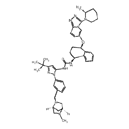 C[C@H]1CCCCN1c1nnc2ccc(O[C@@H]3CC[C@H](NC(=O)Nc4cc(C(C)(C)C)nn4-c4cccc(CN5C[C@@H]6C[C@H]5CN6C)c4)c4ccccc43)cn12